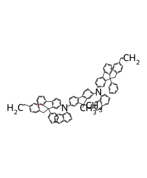 C=Cc1ccc(CC2(c3ccccc3)c3ccccc3-c3ccc(N(c4ccc5c(c4)C(C)(C)c4cc(N(c6ccc7c(c6)C(Cc6ccc(C=C)cc6)(c6ccccc6)c6ccccc6-7)c6cccc7ccccc67)ccc4-5)c4cccc5ccccc45)cc32)cc1